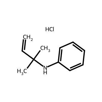 C=CC(C)(C)Nc1ccccc1.Cl